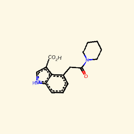 O=C(O)c1c[nH]c2cccc(CC(=O)N3CCCCC3)c12